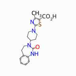 Cc1nc(N2CCC(N3CCc4ccccc4NC3=O)CC2)sc1C(=O)O